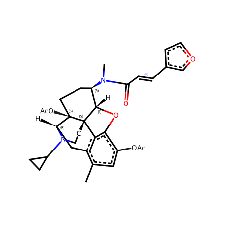 CC(=O)Oc1cc(C)c2c3c1O[C@H]1[C@H](N(C)C(=O)/C=C/c4ccoc4)CC[C@@]4(OC(C)=O)[C@@H](C2)N(C2CC2)CC[C@]314